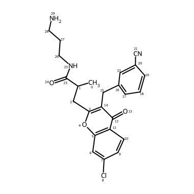 CC([CH]c1oc2cc(Cl)ccc2c(=O)c1Cc1cccc(C#N)c1)C(=O)NCCCN